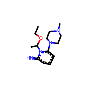 CCOC(C)n1c(N2CCN(C)CC2)cccc1=N